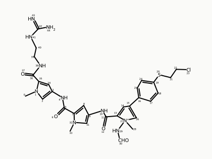 Cn1cc(NC(=O)c2cc(NC(=O)C3=CC(c4ccc(SCCCl)cc4)=C[N+]3(C)NC=O)cn2C)cc1C(=O)NCCNC(=N)N